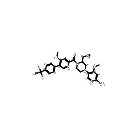 COc1cc(C(=O)N2CCN(c3cnc(N)cc3OC)CC2CO)ncc1-c1ccc(C(F)(F)F)cc1